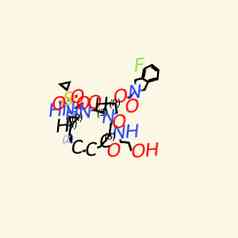 O=C(CCO)N[C@H]1CCCCC/C=C\[C@@H]2C[C@@]2(C(=O)NS(=O)(=O)C2CC2)NC(=O)[C@@H]2C[C@@H](OC(=O)N3Cc4cccc(F)c4C3)CN2C1=O